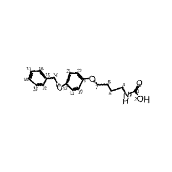 O=C(O)NCCCCOc1ccc(OCc2ccccc2)cc1